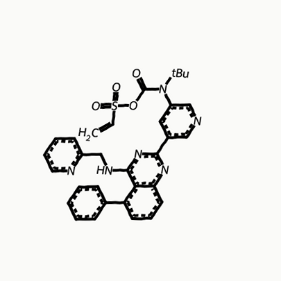 C=CS(=O)(=O)OC(=O)N(c1cncc(-c2nc(NCc3ccccn3)c3c(-c4ccccc4)cccc3n2)c1)C(C)(C)C